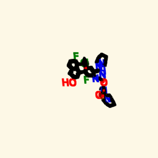 CN=S1(=O)CC2CCC(C1)N2CCCOc1nc(N2CC3CCC(C2)N3)c2cc(Cl)c(-c3cc(O)cc4ccc(F)c(C56CC5C6)c34)c(F)c2n1